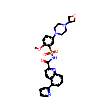 COc1ccc(N2CCN(C3COC3)CC2)cc1S(=O)(=O)NC(=O)c1ccc2c(-c3ccccn3)cccc2n1